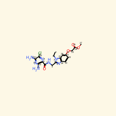 CCn1c(CNC(=O)c2nc(Cl)c(N)nc2N)nc2ccc(OCC(=O)OC)cc21